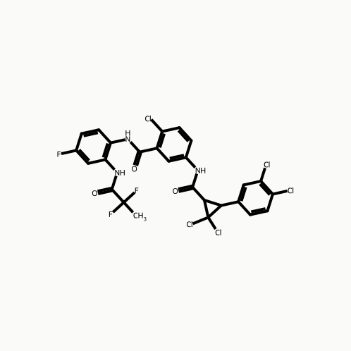 CC(F)(F)C(=O)Nc1cc(F)ccc1NC(=O)c1cc(NC(=O)C2C(c3ccc(Cl)c(Cl)c3)C2(Cl)Cl)ccc1Cl